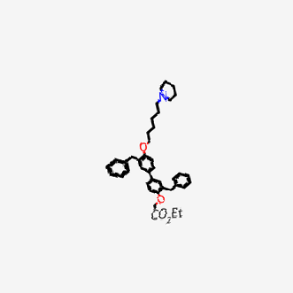 CCOC(=O)COc1ccc(-c2ccc(OCCCCCCN3CCCCC3)c(Cc3ccccc3)c2)cc1Cc1ccccc1